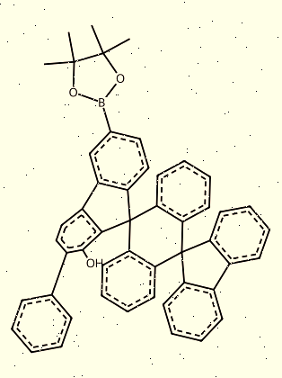 CC1(C)OB(c2ccc3c(c2)-c2ccc(-c4ccccc4)c(O)c2C32c3ccccc3C3(c4ccccc4-c4ccccc43)c3ccccc32)OC1(C)C